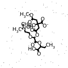 CCC(OC(=O)C(OCC[N+](C)(C)C)OC(=O)CC(O)(CC(=O)OC)C(=O)[O-])C(=O)O